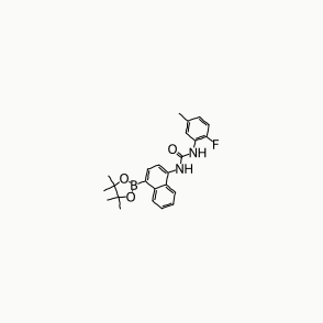 Cc1ccc(F)c(NC(=O)Nc2ccc(B3OC(C)(C)C(C)(C)O3)c3ccccc23)c1